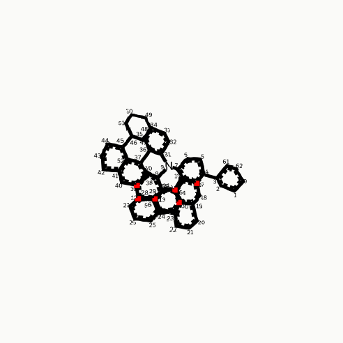 c1ccc(-c2ccc(N(c3ccccc3-c3cccc4cccc(-c5ccccc5)c34)c3ccccc3-c3cccc4cccc(C5CCCCC5)c34)c(-c3ccccc3)c2)cc1